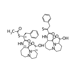 CC(=O)S[C@@H](Cc1ccccc1)C(=O)N[C@H]1CCCN2CCC[C@@H](C(=O)O)N2C1=O.O=C(NC1CCCN2CCCC(C(=O)O)N2C1=O)C(=S)Cc1ccccc1